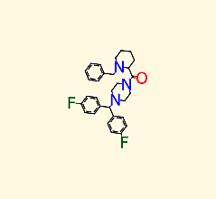 O=C(C1CCCCN1Cc1ccccc1)N1CCN(C(c2ccc(F)cc2)c2ccc(F)cc2)CC1